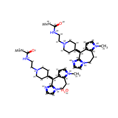 CNC(=O)NCCN1CCC(=C2c3ccn(C)c3CCn3ccnc32)CC1.CNC(=O)NCCN1CCC(=C2c3ccn(C)c3CCn3ccnc32)CC1.O